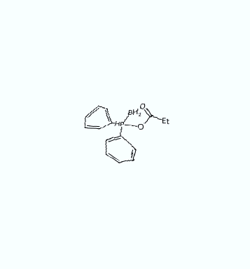 B[PH](OC(=O)CC)(c1ccccc1)c1ccccc1